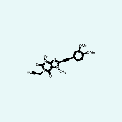 C#CCn1c(=O)c2c(nc(C#Cc3ccc(OC)c(OC)c3)n2C)n(C(C)C)c1=O